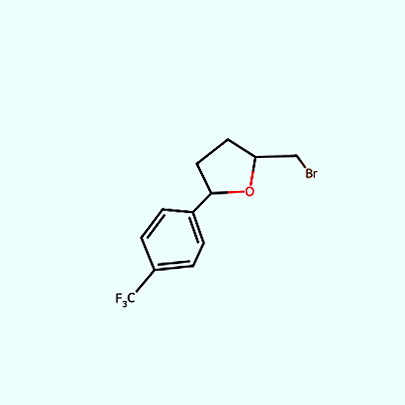 FC(F)(F)c1ccc(C2CCC(CBr)O2)cc1